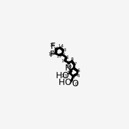 O=C(O)c1ccc2ccc(C=Cc3ccc(F)c(F)c3)nc2c1O